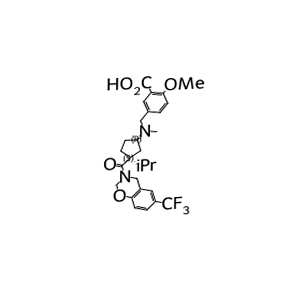 COc1ccc(CN(C)[C@@H]2CC[C@@](C(=O)N3COc4ccc(C(F)(F)F)cc4C3)(C(C)C)C2)cc1C(=O)O